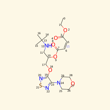 CCOC(=O)/C=C\C(=O)OC(CNC(C)(C)C)COc1nsnc1N1CCOCC1